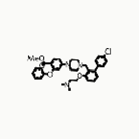 COC(=O)c1ccc(N2CCN(Cc3c(OCCN(C)C)cccc3-c3ccc(Cl)cc3)CC2)cc1Oc1ccccc1